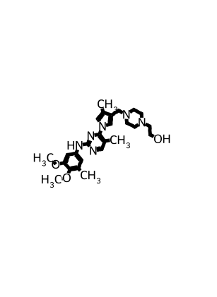 COc1cc(Nc2ncc(C)c(-n3cc(C)c(CN4CCN(CCO)CC4)c3)n2)cc(C)c1OC